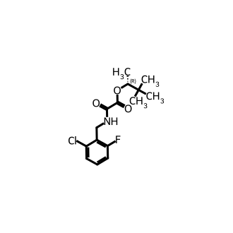 C[C@@H](OC(=O)C(=O)NCc1c(F)cccc1Cl)C(C)(C)C